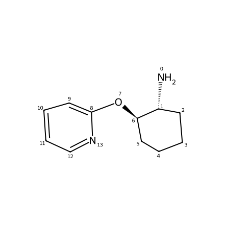 N[C@@H]1CCCC[C@H]1Oc1ccccn1